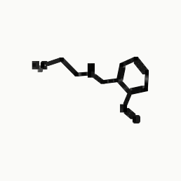 CCCNCc1ccccc1N=O